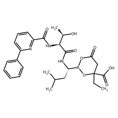 CCC1(C(=O)O)CC(=O)OB([C@H](CC(C)C)NC(=O)[C@@H](NC(=O)c2cccc(-c3ccccc3)n2)[C@@H](C)O)O1